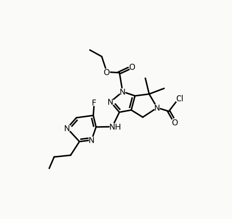 CCCc1ncc(F)c(Nc2nn(C(=O)OCC)c3c2CN(C(=O)Cl)C3(C)C)n1